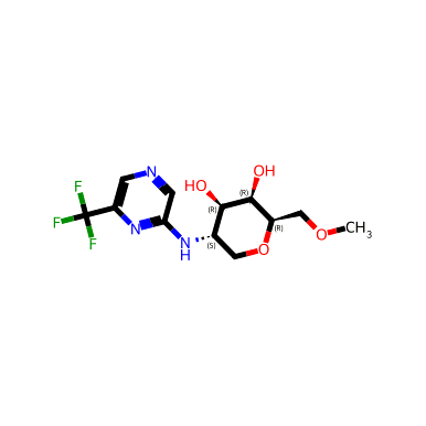 COC[C@H]1OC[C@H](Nc2cncc(C(F)(F)F)n2)[C@@H](O)[C@H]1O